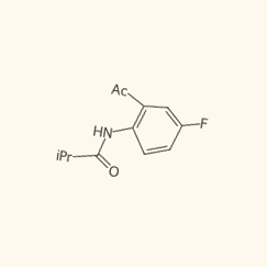 CC(=O)c1cc(F)ccc1NC(=O)C(C)C